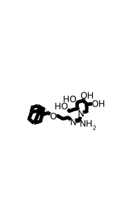 NC(=NCCCOCC12CC3CC(CC(C3)C1)C2)N1CC(O)C(O)C(O)C1CO